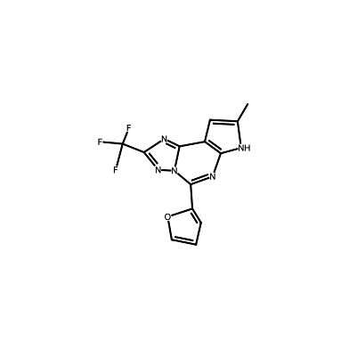 Cc1cc2c(nc(-c3ccco3)n3nc(C(F)(F)F)nc23)[nH]1